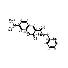 CCN(CC)c1ccc2cc(C(=O)NCc3ccccn3)c(=O)oc2c1